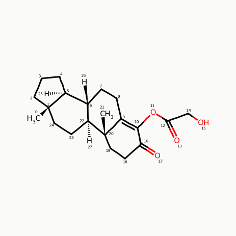 C[C@@]12CCC[C@H]1[C@@H]1CCC3=C(OC(=O)CO)C(=O)CC[C@]3(C)[C@H]1CC2